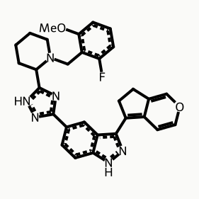 COc1cccc(F)c1CN1CCCCC1c1nc(-c2ccc3[nH]nc(C4=C5C=COC=C5CC4)c3c2)n[nH]1